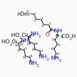 CCCCCCCCCCCCCCCC(=O)N[C@@H](CCCCN)C(=O)O.NCCCC[C@H](N)C(=O)O.NCCCC[C@H](N)C(=O)O